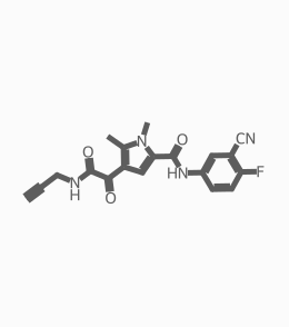 C#CCNC(=O)C(=O)c1cc(C(=O)Nc2ccc(F)c(C#N)c2)n(C)c1C